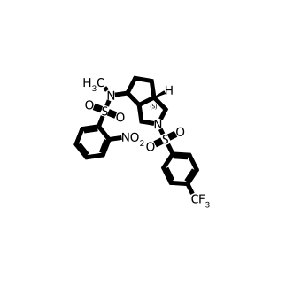 CN(C1CC[C@@H]2CN(S(=O)(=O)c3ccc(C(F)(F)F)cc3)CC12)S(=O)(=O)c1ccccc1[N+](=O)[O-]